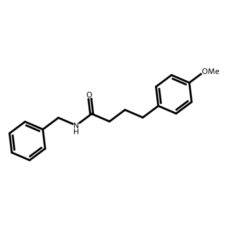 COc1ccc(CCCC(=O)NCc2ccccc2)cc1